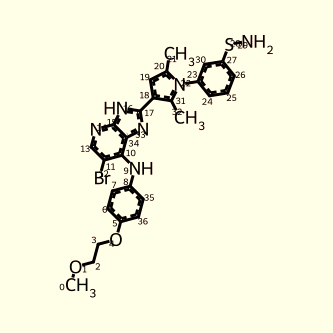 COCCOc1ccc(Nc2c(Br)cnc3[nH]c(-c4cc(C)n(-c5cccc(SN)c5)c4C)nc23)cc1